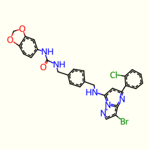 O=C(NCc1ccc(CNc2cc(-c3ccccc3Cl)nc3c(Br)cnn23)cc1)Nc1ccc2c(c1)OCO2